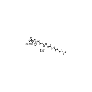 CCCCCCCCCCCCCCCC(=O)C[N+](C)(C)CCC.[Cl-]